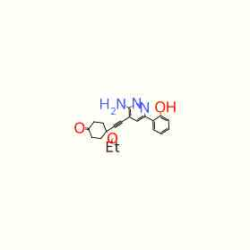 CCOC1(C#Cc2cc(-c3ccccc3O)nnc2N)CCC(=O)CC1